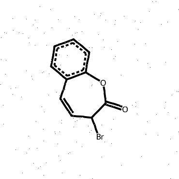 O=C1Oc2ccccc2C=CC1Br